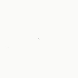 C=CC(=O)OCCNC(=O)OCCOC